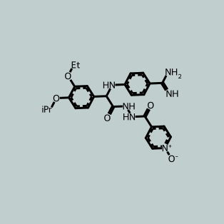 CCOc1cc(C(Nc2ccc(C(=N)N)cc2)C(=O)NNC(=O)c2cc[n+]([O-])cc2)ccc1OC(C)C